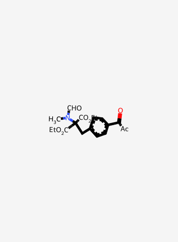 CCOC(=O)C(Cc1ccc(C(=O)C(C)=O)cc1)(C(=O)OCC)N(C)C=O